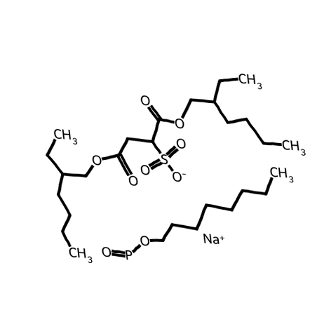 CCCCC(CC)COC(=O)CC(C(=O)OCC(CC)CCCC)S(=O)(=O)[O-].CCCCCCCCOP=O.[Na+]